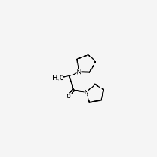 CC(C(=O)N1CCCC1)N1CCCC1